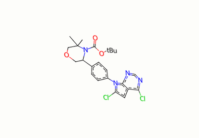 CC(C)(C)OC(=O)N1C(c2ccc(-n3c(Cl)cc4c(Cl)ncnc43)cc2)COCC1(C)C